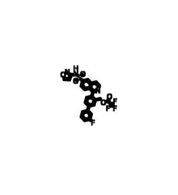 O=C(OCc1cc(-c2cccc(F)c2)ccc1-c1nccc2cc(S(=O)(=O)Nc3ccon3)ccc12)C(F)(F)F